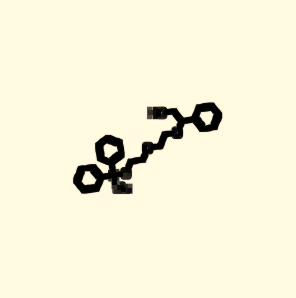 CC(C)(C)[Si](OCCOCCOC(CO)c1ccccc1)(c1ccccc1)c1ccccc1